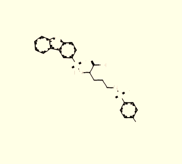 Cc1ccc(S(=O)(=O)NCCCC(NS(=O)(=O)c2ccc3oc4ccccc4c3c2)C(=O)O)cc1